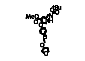 COC(=O)c1cc(CNC(=O)OC(C)(C)C)ncc1Oc1ccc(OCCOC2CCOCC2)cc1